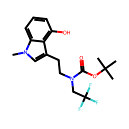 Cn1cc(CCN(CC(F)(F)F)C(=O)OC(C)(C)C)c2c(O)cccc21